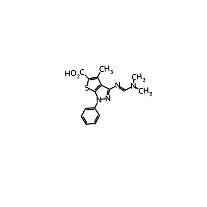 Cc1c(C(=O)O)sc2c1c(N=CN(C)C)nn2-c1ccccc1